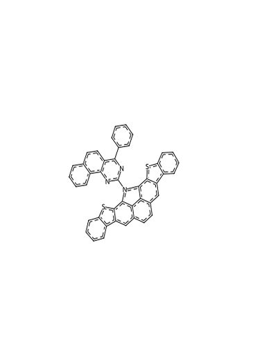 c1ccc(-c2nc(-n3c4c5sc6ccccc6c5cc5ccc6cc7c8ccccc8sc7c3c6c54)nc3c2ccc2ccccc23)cc1